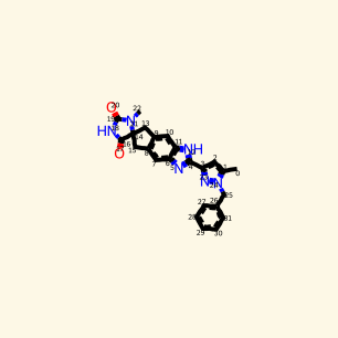 Cc1cc(-c2nc3cc4c(cc3[nH]2)CC2(C4)C(=O)NC(=O)N2C)nn1Cc1ccccc1